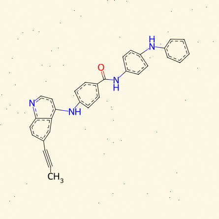 CC#Cc1ccc2nccc(Nc3ccc(C(=O)Nc4ccc(Nc5ccccc5)cc4)cc3)c2c1